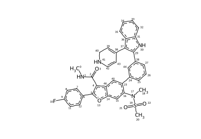 CNC(=O)c1c(-c2ccc(F)cc2)oc2cc(N(C)S(C)(=O)=O)c(-c3cccc(-c4[nH]c5ccccc5c4C4=CCNC=C4)c3)cc12